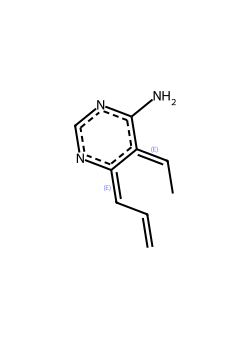 C=C/C=c1/ncnc(N)/c1=C/C